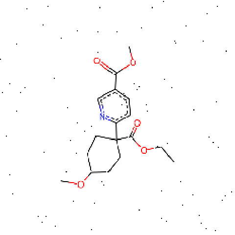 CCOC(=O)C1(c2ccc(C(=O)OC)cn2)CCC(OC)CC1